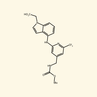 CC(C)(C)OC(=O)NCc1cc(Nc2cccc3c2ccn3CC(=O)O)nc(C(F)(F)F)c1